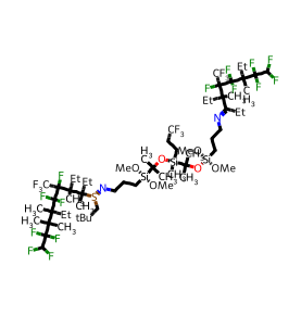 CC/C(=N\CCC[Si](OC)(OC)OC(C)(C)[Si](C)(CCC(F)(F)F)OC(C)(C)[Si](CCC/N=S(\CC(C)(C)C)C(C)(CC)C(C)(CC)C(F)(C(F)(F)F)C(F)(F)C(C)(CC)C(C)(C)C(F)(F)C(F)F)(OC)OC)C(C)(CC)C(F)(C(F)(F)F)C(F)(F)C(C)(CC)C(F)(F)C(F)F